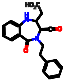 O=C=C1C(CC(=O)O)Nc2ccccc2C(=O)N1CCc1ccccc1